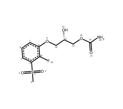 CS(=O)(=O)c1cccc(OC[C@H](O)COC(N)=O)c1F